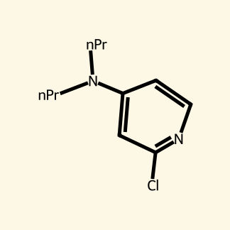 CCCN(CCC)c1ccnc(Cl)c1